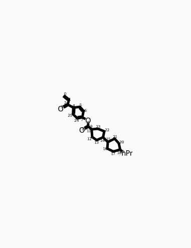 C=CC(=O)c1ccc(OC(=O)C2CCC(C3CCC(CCC)CC3)CC2)cc1